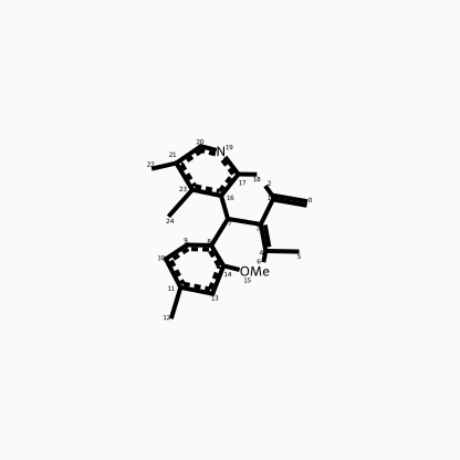 C=C(C)C(=C(C)C)C(c1ccc(C)cc1OC)c1c(C)ncc(C)c1C